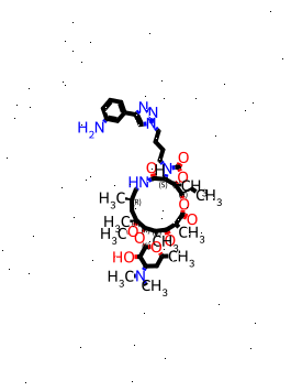 CC[C@H]1OC(=O)C(C)C(=O)[C@H](C)[C@@H](O[C@@H]2OC(C)CC(N(C)C)C2O)[C@](C)(OC)C[C@@H](C)CNC(=O)[C@H]2N(CCCCn3cc(-c4cccc(N)c4)nn3)C(=O)O[C@]12C